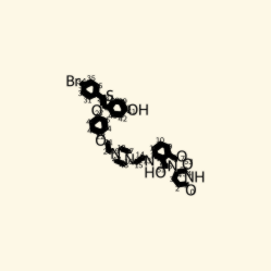 O=C1CCC(N2C(=O)c3cccc(NCCN4CCN(CCOc5ccc(Oc6c(-c7ccc(Br)cc7)sc7cc(O)ccc67)cc5)CC4)c3C2=O)C(=O)N1